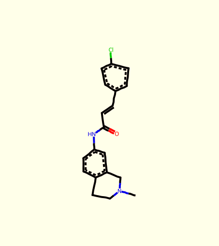 CN1CCc2ccc(NC(=O)/C=C/c3ccc(Cl)cc3)cc2C1